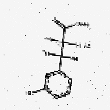 [2H]C([2H])(c1cccc(O)c1)[C@@]([2H])(NC(C)=O)C(=O)OC